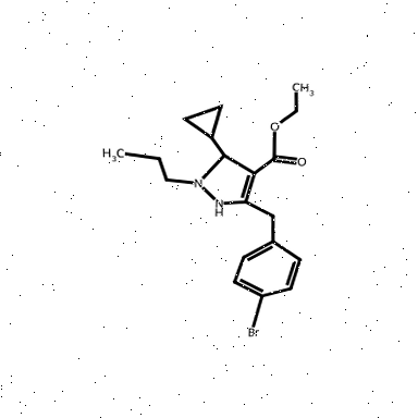 CCCN1NC(Cc2ccc(Br)cc2)=C(C(=O)OCC)C1C1CC1